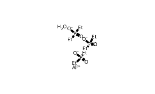 CCP(=O)([O-])CC.CCP(=O)([O-])CC.CCP(=O)([O-])CC.O.[Al+3]